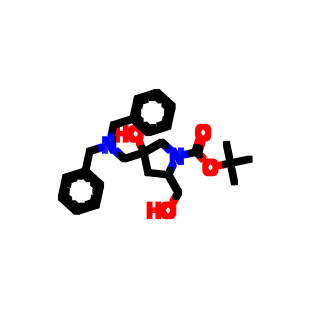 CC(C)(C)OC(=O)N1CC(O)(CN(Cc2ccccc2)Cc2ccccc2)CC1CO